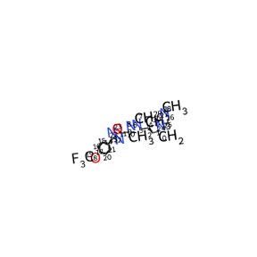 C=C(/C=C(\C)CN(C)/N=C(\C)c1nc(-c2ccc(OC(F)(F)F)cc2)no1)N1CCN(C)CC1